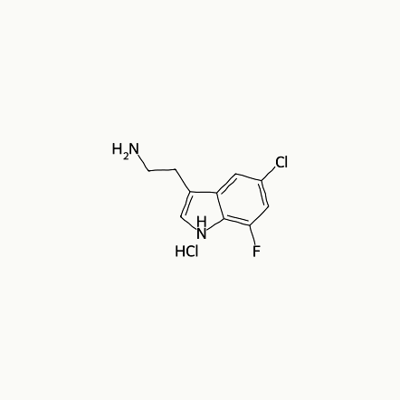 Cl.NCCc1c[nH]c2c(F)cc(Cl)cc12